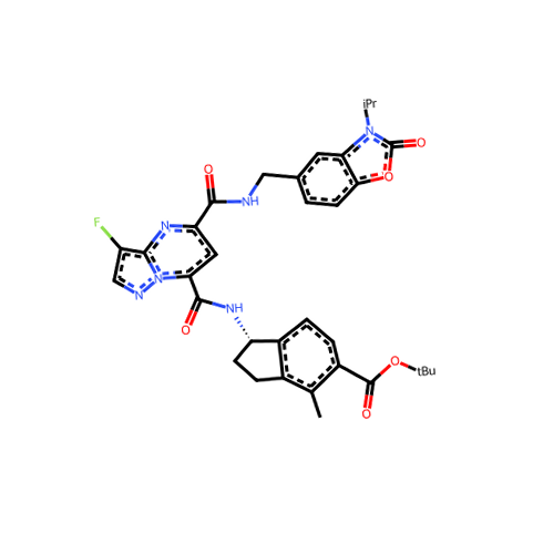 Cc1c(C(=O)OC(C)(C)C)ccc2c1CC[C@@H]2NC(=O)c1cc(C(=O)NCc2ccc3oc(=O)n(C(C)C)c3c2)nc2c(F)cnn12